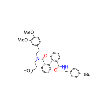 COc1ccc(CCN(CCC(=O)O)C(=O)c2ccccc2-c2ccccc2C(=O)NCc2ccc(C(C)(C)C)cc2)cc1OC